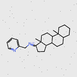 CC12CCC3C(CCC4CCCCC43C)C1CC/C2=N\Cc1ccccn1